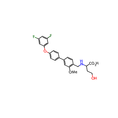 COc1cc(-c2ccc(Oc3cc(F)cc(F)c3)cc2)ccc1CNC(CCO)C(=O)O